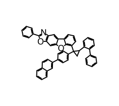 c1ccc(-c2nc3cc4c(cc3o2)oc2c(C3(c5ccc(-c6ccc7ccccc7c6)cc5)CC3c3ccccc3-c3ccccc3)cccc24)cc1